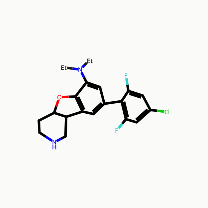 CCN(CC)c1cc(-c2c(F)cc(Cl)cc2F)cc2c1OC1CCNCC21